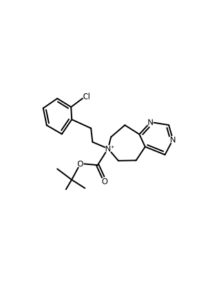 CC(C)(C)OC(=O)[N+]1(CCc2ccccc2Cl)CCc2cncnc2CC1